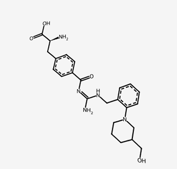 NC(=NC(=O)c1ccc(C[C@H](N)C(=O)O)cc1)NCc1ccccc1N1CCCC(CO)C1